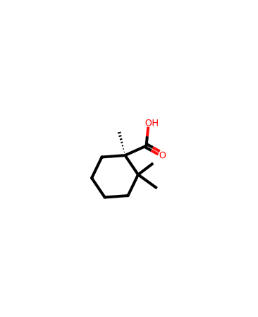 CC1(C)CCCC[C@@]1(C)C(=O)O